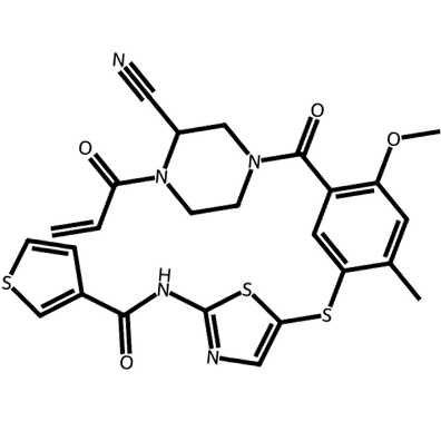 C=CC(=O)N1CCN(C(=O)c2cc(Sc3cnc(NC(=O)c4ccsc4)s3)c(C)cc2OC)CC1C#N